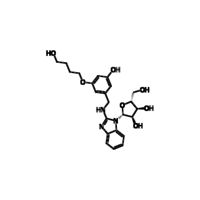 OCCCCOc1cc(O)cc(CNc2nc3ccccc3n2[C@@H]2O[C@H](CO)[C@@H](O)[C@H]2O)c1